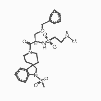 CCN(C)CCS(=O)(=O)N[C@H](COCc1ccccc1)C(=O)N1CCC2(CC1)CN(S(C)(=O)=O)c1ccccc12